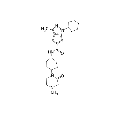 Cc1nn(C2CCCCC2)c2sc(C(=O)N[C@H]3CC[C@H](N4CCN(C)CC4=O)CC3)cc12